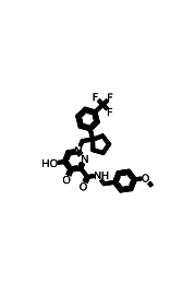 COc1ccc(CNC(=O)c2nn(CC3(c4cccc(C(F)(F)F)c4)CCCC3)cc(O)c2=O)cc1